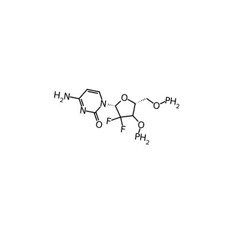 Nc1ccn([C@@H]2O[C@H](COP)C(OP)C2(F)F)c(=O)n1